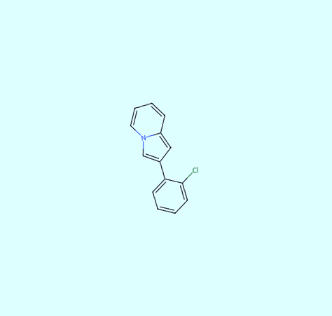 Clc1ccccc1-c1cc2ccccn2c1